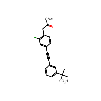 COC(=O)Cc1ccc(C#Cc2cccc(C(C)(C)C(=O)O)c2)cc1F